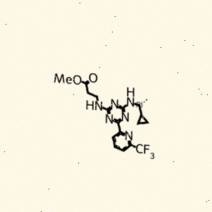 COC(=O)CCNc1nc(N[C@H](C)C2CC2)nc(-c2cccc(C(F)(F)F)n2)n1